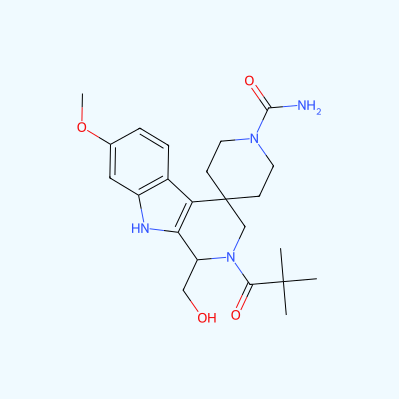 COc1ccc2c3c([nH]c2c1)C(CO)N(C(=O)C(C)(C)C)CC31CCN(C(N)=O)CC1